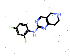 Fc1ccc(Nc2ncc3c(n2)CCNC3)c(F)c1